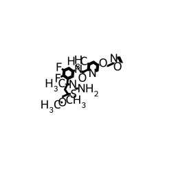 COC[C@@]1(C)C[C@@](C)(c2cc(NC(=O)c3ncc(OCc4ncco4)cc3C)cc(F)c2F)N=C(N)S1